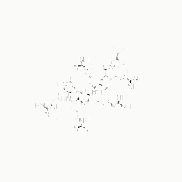 CC(=O)N[C@@H](CCCNC(=N)N)C(=O)N[C@@H](CCCNC(=N)N)C(=O)N[C@@H](CCCCNC(=N)N)C(=O)N[C@@H](CCCNC(=N)N)C(=O)NC(CCCNC(=N)N)C(=O)NCC(=O)C(C)C